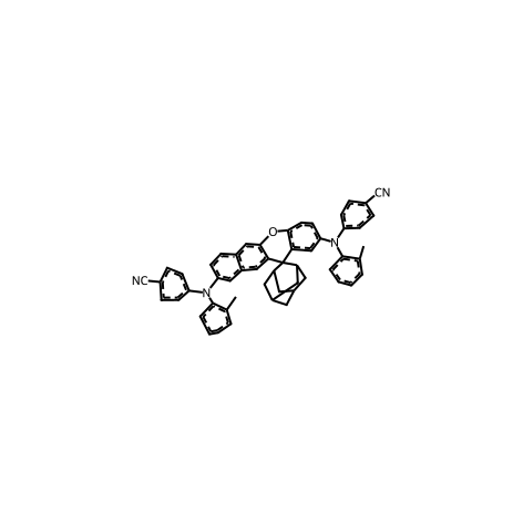 Cc1ccccc1N(c1ccc(C#N)cc1)c1ccc2c(c1)C1(c3cc4cc(N(c5ccc(C#N)cc5)c5ccccc5C)ccc4cc3O2)C2CC3CC(C2)CC1C3